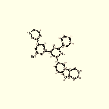 Brc1cc(-c2cccnc2)cc(-c2cc(-c3ccc4sc5ccccc5c4c3)nc(-c3ccccc3)n2)c1